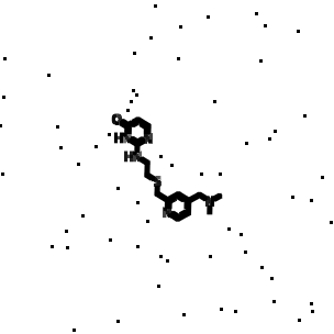 CN(C)Cc1ccnc(CSCCNc2nccc(=O)[nH]2)c1